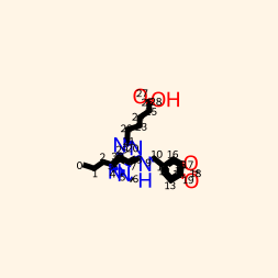 CCCc1nn(C)c2c(NCc3ccc4c(c3)OCO4)nc(CCCCC(=O)O)nc12